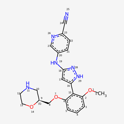 COc1cccc(OC[C@@H]2CNCCO2)c1-c1cc(Nc2ccc(C#N)nc2)n[nH]1